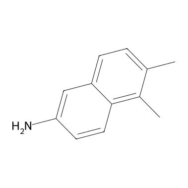 Cc1ccc2cc(N)ccc2c1C